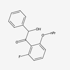 CCCOc1cccc(F)c1C(=O)C(O)c1ccccc1